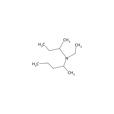 CCCC(C)N(CC)C(C)CC